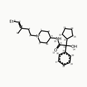 CC/C=C(\C)CCN1CCC(NC(=O)C(O)(c2ccccc2)C2CCCC2)CC1